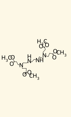 COC(=O)CCN(CCNCCNCCN(CCC(=O)OC)CCC(=O)OC)CCC(=O)OC